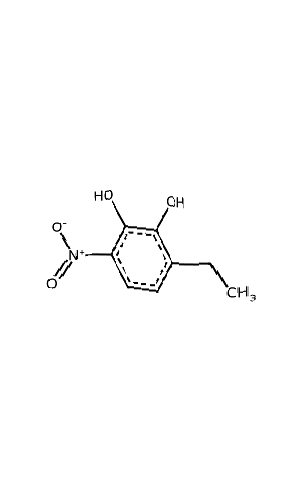 CCc1ccc([N+](=O)[O-])c(O)c1O